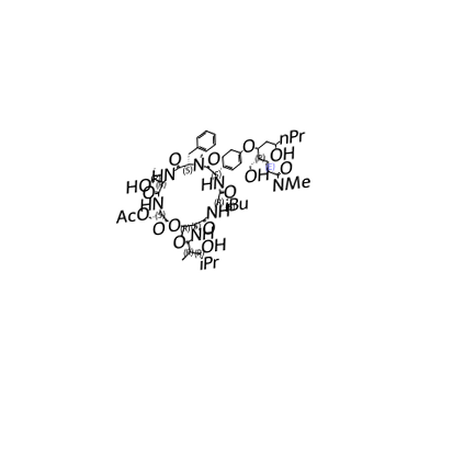 CCCC(O)CC(OC1=CC=C([C@@H]2NC(=O)[C@@H]([C@@H](C)CC)NC(=O)[C@@H](NC(=O)[C@H](C)[C@H](O)C(C)C)[C@@H](C)OC(=O)[C@H](COC(C)=O)NC(=O)[C@@H]([C@@H](C)O)NC(=O)[C@H](Cc3ccccc3)N(C)C2=O)CC1)[C@H](/C=C/C(=O)NC)CO